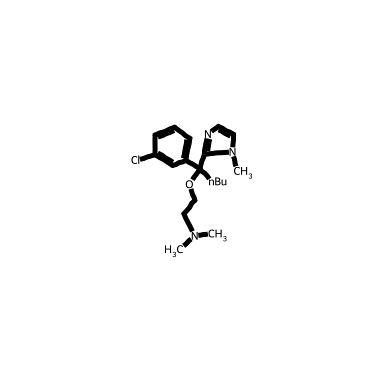 CCCCC(OCCN(C)C)(c1cccc(Cl)c1)c1nccn1C